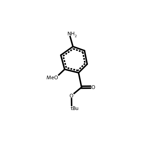 COc1cc(N)ccc1C(=O)OC(C)(C)C